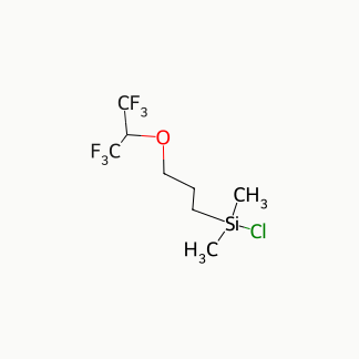 C[Si](C)(Cl)CCCOC(C(F)(F)F)C(F)(F)F